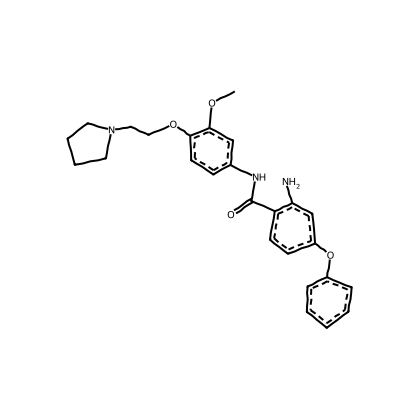 COc1cc(NC(=O)c2ccc(Oc3ccccc3)cc2N)ccc1OCCN1CCCC1